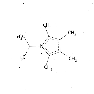 Cc1c(C)c(C)n(C(C)C)c1C